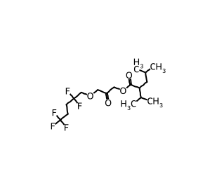 CC(C)CC(C(=O)OCC(=O)COCC(F)(F)CCC(F)(F)F)C(C)C